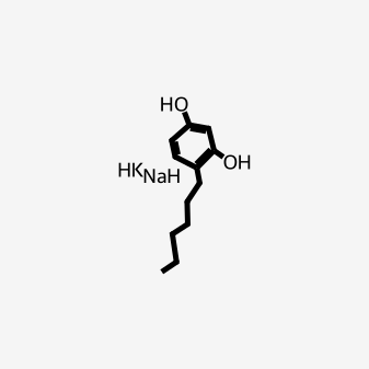 CCCCCCc1ccc(O)cc1O.[KH].[NaH]